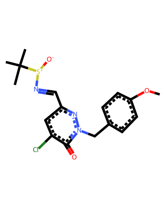 COc1ccc(Cn2nc(/C=N/[S+]([O-])C(C)(C)C)cc(Cl)c2=O)cc1